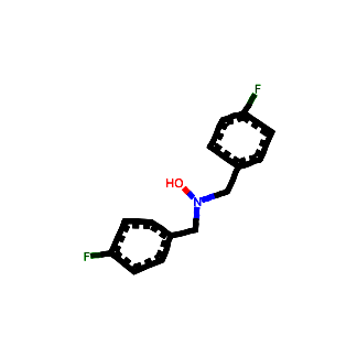 ON(Cc1ccc(F)cc1)Cc1ccc(F)cc1